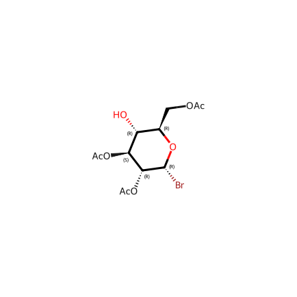 CC(=O)OC[C@H]1O[C@H](Br)[C@H](OC(C)=O)[C@@H](OC(C)=O)[C@@H]1O